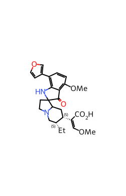 CC[C@@H]1CN2CCC3(Nc4c(-c5ccoc5)ccc(OC)c4C3=O)C2C[C@@H]1C(=COC)C(=O)O